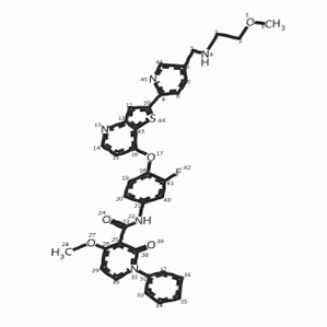 COCCNCc1ccc(-c2cc3nccc(Oc4ccc(NC(=O)c5c(OC)ccn(-c6ccccc6)c5=O)cc4F)c3s2)nc1